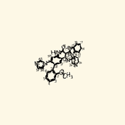 COc1ccccc1-c1cc2c(N[C@H]3CN4CCC3CC4)c(-c3nc4ccccc4[nH]3)c(=O)[nH]c2cc1-n1ccnc1